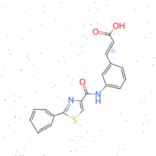 O=C(O)/C=C/c1cccc(NC(=O)c2csc(-c3ccccc3)n2)c1